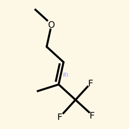 COC/C=C(\C)C(F)(F)F